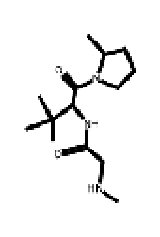 CNCC(=O)NC(C(=O)N1CCCC1C)C(C)(C)C